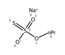 CCCOS(=O)([O-])=S.[Na+]